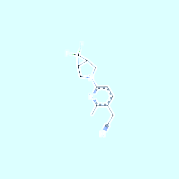 Cc1nc(N2CC3C(C2)C3(F)F)ccc1CC#N